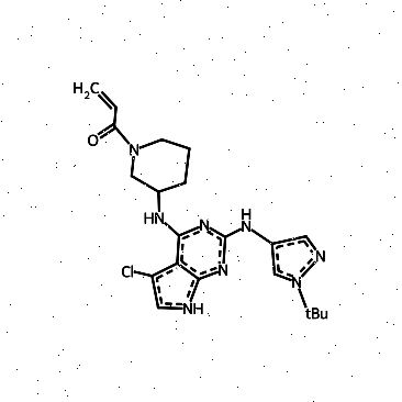 C=CC(=O)N1CCCC(Nc2nc(Nc3cnn(C(C)(C)C)c3)nc3[nH]cc(Cl)c23)C1